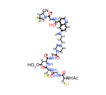 CC(=O)N[C@@H](CS)C(=O)NCC(=O)N[C@@H](CS)C(=O)N[C@@H](CCC(=O)O)C(=O)NCC(=O)N1CCN(CCCN(C)c2ccc3nccc(C(O)NCC(=O)N4CC(F)(F)C[C@H]4C#N)c3c2)CC1